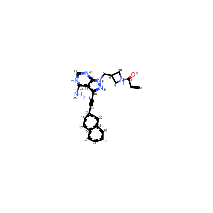 C=CC(=O)N1CC(Cn2nc(C#Cc3ccc4ccccc4c3)c3c(N)ncnc32)C1